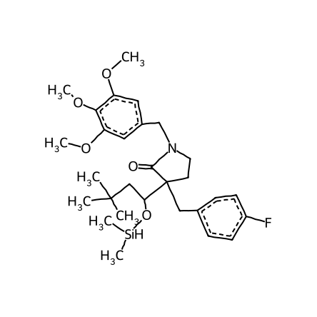 COc1cc(CN2CCC(Cc3ccc(F)cc3)(C(CC(C)(C)C)O[SiH](C)C)C2=O)cc(OC)c1OC